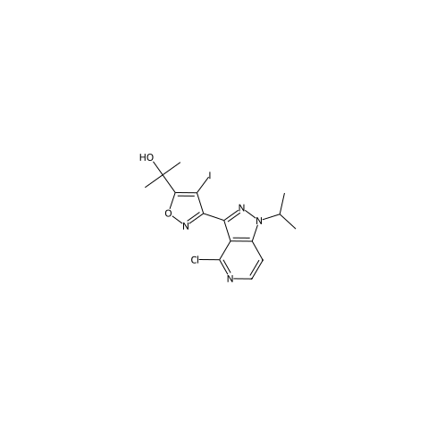 CC(C)n1nc(-c2noc(C(C)(C)O)c2I)c2c(Cl)nccc21